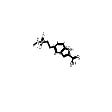 CNS(=O)(=O)CCc1ccc2[nH]c(C(=O)O)cc2c1